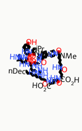 CCCCCCCCCCCCCCCCCCCC(=O)N[C@@H](CCC(=O)N[C@@H](CCC(=O)NCCCC[C@H](NC)C(=O)N1CCN(c2ccc3ncn(CC(=O)N[C@@H](CCCNC(=N)N)C(=O)NC(Cc4c[nH]cn4)C(=O)N[C@@H](Cc4ccc(O)cc4)C(=O)NC(CC(C)C)C(=O)NC)c(=O)c3c2)CC1)C(=O)O)C(=O)O